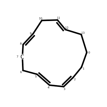 [CH]1C/C=C\C=C\CC/C=C/C/C=C/C1